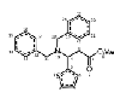 COC(=O)CC(c1cccs1)N(Cc1ccccc1)Cc1ccccc1